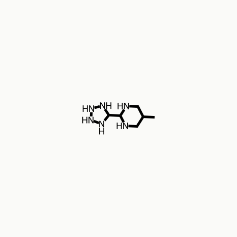 CC1CNC(C2NNNN2)NC1